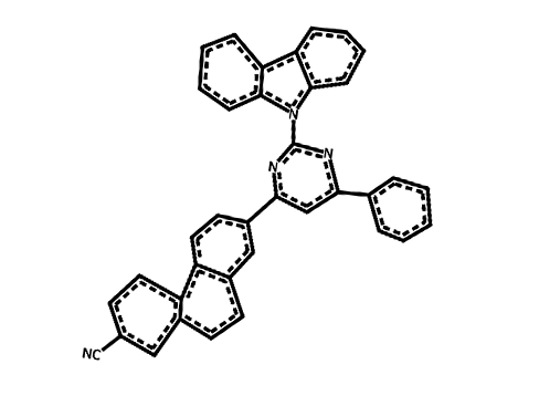 N#Cc1ccc2c(ccc3cc(-c4cc(-c5ccccc5)nc(-n5c6ccccc6c6ccccc65)n4)ccc32)c1